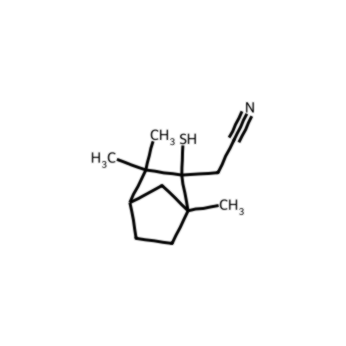 CC12CCC(C1)C(C)(C)C2(S)CC#N